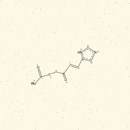 CC(C)(C)C(=O)CCC(=O)/C=C/c1cnc[nH]1